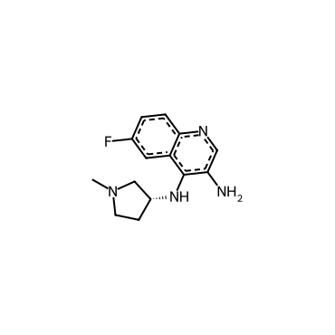 CN1CC[C@@H](Nc2c(N)cnc3ccc(F)cc23)C1